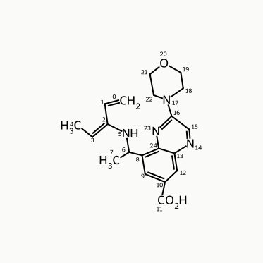 C=C/C(=C\C)NC(C)c1cc(C(=O)O)cc2ncc(N3CCOCC3)nc12